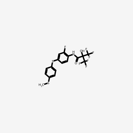 CSc1ccc(Sc2ccc(NC(=O)C(O)(C(F)(F)F)C(F)(F)F)c(F)c2)cc1